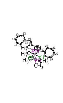 C[PH](C)(C)[Zr]([Cl])([Cl])([C](=CC=Cc1ccccc1)c1ccccc1)[PH](C)(C)C